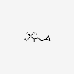 NP(N)(=O)NSCC1CC1